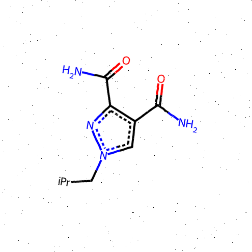 CC(C)Cn1cc(C(N)=O)c(C(N)=O)n1